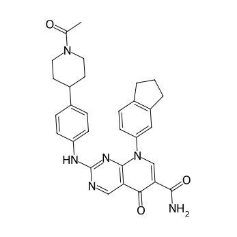 CC(=O)N1CCC(c2ccc(Nc3ncc4c(=O)c(C(N)=O)cn(-c5ccc6c(c5)CCC6)c4n3)cc2)CC1